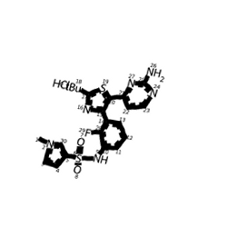 Cl.Cn1ccc(S(=O)(=O)Nc2cccc(-c3nc(C(C)(C)C)sc3-c3ccnc(N)n3)c2F)c1